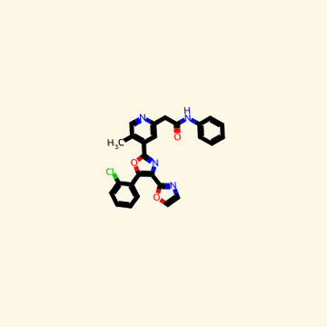 Cc1cnc(CC(=O)Nc2ccccc2)cc1-c1nc(-c2ncco2)c(-c2ccccc2Cl)o1